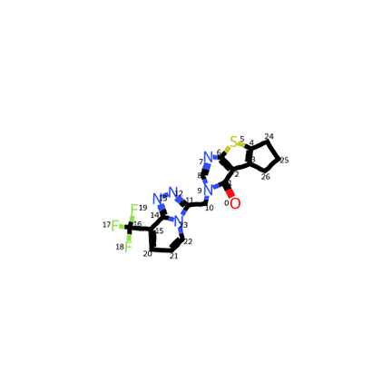 O=c1c2c3c(sc2ncn1Cc1nnc2c(C(F)(F)F)cccn12)CCC3